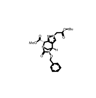 COC(=O)[C@@H]1c2nn(CC(=O)OC(C)(C)C)cc2[C@H]2CN1C(=O)N2OCc1ccccc1